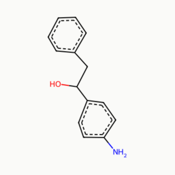 Nc1ccc(C(O)Cc2ccccc2)cc1